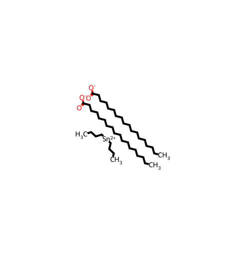 CCCCCCCCCCCCCCCCCC(=O)[O-].CCCCCCCCCCCCCCCCCC(=O)[O-].CCC[CH2][Sn+2][CH2]CCC